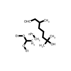 CC(CC=O)CCCC(C)(C)O.CCCC.CCOC(C)OCC